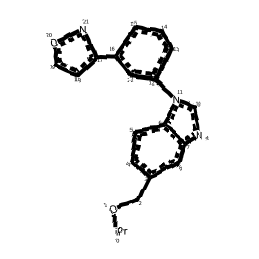 CC(C)OCc1ccc2c(c1)ncn2-c1cccc(-c2ccon2)c1